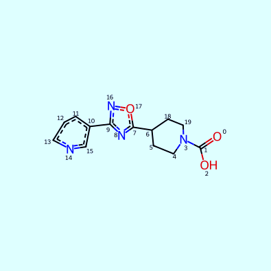 O=C(O)N1CCC(c2nc(-c3cccnc3)no2)CC1